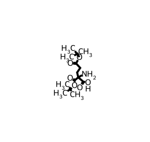 CC(C)(C)OC(=O)CCC(N)(C(=O)O)C(=O)OC(C)(C)C